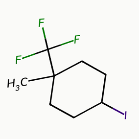 CC1(C(F)(F)F)CCC(I)CC1